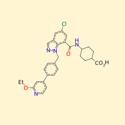 CCOc1cc(-c2ccc(Cn3ncc4cc(Cl)cc(C(=O)NC5CCC(C(=O)O)CC5)c43)cc2)ccn1